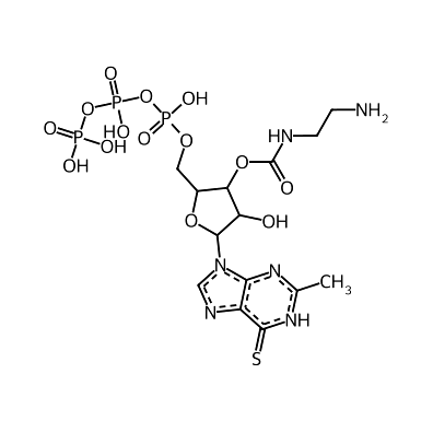 Cc1nc2c(ncn2C2OC(COP(=O)(O)OP(=O)(O)OP(=O)(O)O)C(OC(=O)NCCN)C2O)c(=S)[nH]1